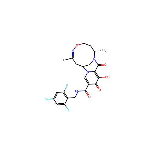 CC/C1=N/OCC[C@H](C)N2CC(C1)n1cc(C(=O)NCc3c(F)cc(F)cc3F)c(=O)c(O)c1C2=O